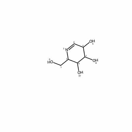 OCC1N=CC(O)C(O)C1O